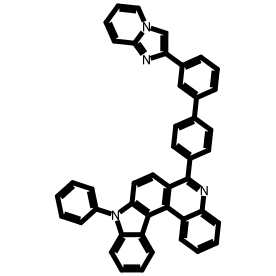 c1ccc(-n2c3ccccc3c3c4c(ccc32)c(-c2ccc(-c3cccc(-c5cn6ccccc6n5)c3)cc2)nc2ccccc24)cc1